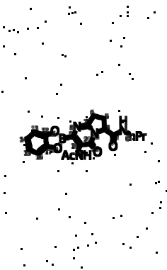 CCCNC(=O)C1CCc2nc(B3Oc4ccccc4O3)c(NC(C)=O)c(=O)n21